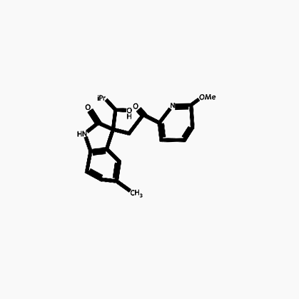 COc1cccc(C(=O)CC2(C(O)C(C)C)C(=O)Nc3ccc(C)cc32)n1